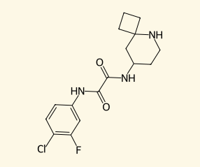 O=C(Nc1ccc(Cl)c(F)c1)C(=O)NC1CCNC2(CCC2)C1